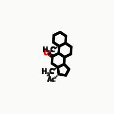 CC(=O)[C@H]1CCC2C3CCC4CCCC[C@]4(C)C3C(=O)C[C@@]21C